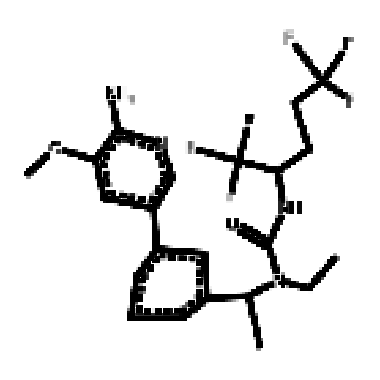 CCN(C(=O)NC(CCC(F)(F)F)C(F)(F)F)C(C)c1cccc(-c2cnc(N)c(OC)c2)c1